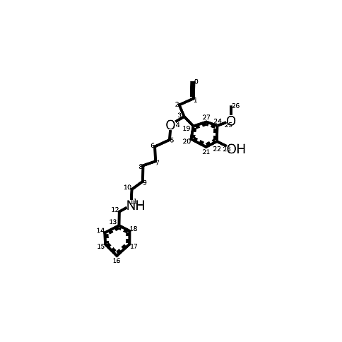 C=CCC(OCCCCCCNCc1ccccc1)c1ccc(O)c(OC)c1